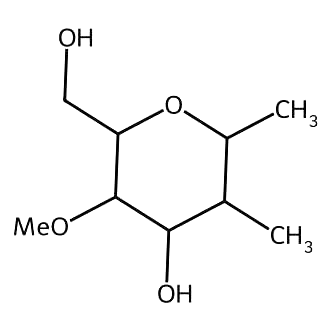 COC1C(CO)OC(C)C(C)C1O